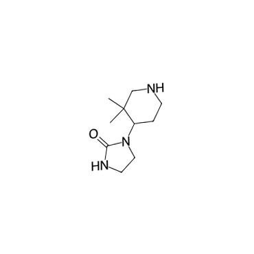 CC1(C)CNCCC1N1CCNC1=O